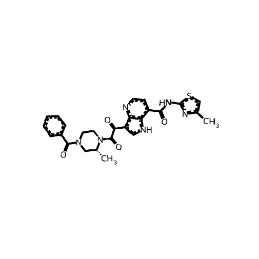 Cc1csc(NC(=O)c2ccnc3c(C(=O)C(=O)N4CCN(C(=O)c5ccccc5)C[C@H]4C)c[nH]c23)n1